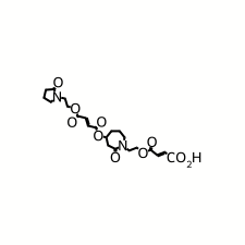 O=C(O)/C=C/C(=O)OCCN1CCCC(OC(=O)/C=C/C(=O)OCCN2CCCC2=O)CC1=O